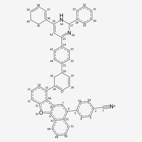 N#Cc1ccc(-c2cc3c(oc4cccc(C5=CC=CC(c6ccc(C7=NC(c8ccccc8)NC(C8=CC=CCC8)=C7)cc6)C5)c43)c3ccccc23)cc1